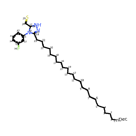 CCCCCCCCCCCCCCCCCCCCCCCCCCCCCCCCCC1=NNC(C=S)N1c1cccc(F)c1